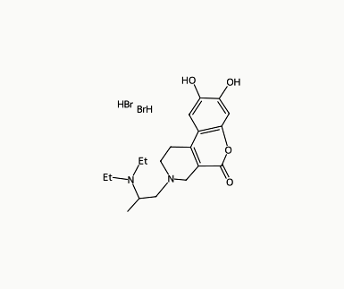 Br.Br.CCN(CC)C(C)CN1CCc2c(c(=O)oc3cc(O)c(O)cc23)C1